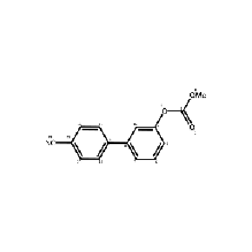 COC(=O)Oc1cccc(-c2ccc(C#N)cc2)c1